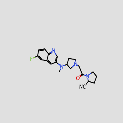 CN(c1cnc2ccc(F)cc2c1)C1CCN(CC(=O)N2CCCC2C#N)C1